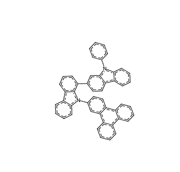 c1ccc(-n2c3ccccc3c3ccc(-c4cccc5c6ccccc6n(-c6ccc7c8ccccc8c8ccccc8c7c6)c45)cc32)cc1